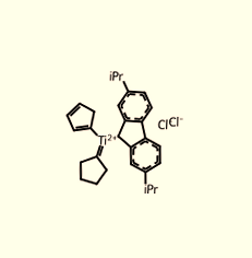 CC(C)c1ccc2c(c1)[CH]([Ti+2]([C]1=CC=CC1)=[C]1CCCC1)c1cc(C(C)C)ccc1-2.[Cl-].[Cl-]